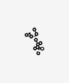 CC1(C)c2ccccc2-c2ccc(N(c3ccc(-c4cc5c6ccccc6c6c(c7c(n6-c6ccccc6)C=CCC7)c5c5ccccc45)cc3)c3cccc(-c4ccccc4)c3)cc21